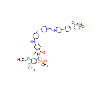 CCOc1cc([C@@H](CS(C)(=O)=O)N2C(=O)c3ccc(NC4CCN(CC5CCN(CCN6CCC(c7ccc(C8CCC(=O)NC8=O)cc7)CC6)CC5)CC4)cc3C2=O)ccc1OC